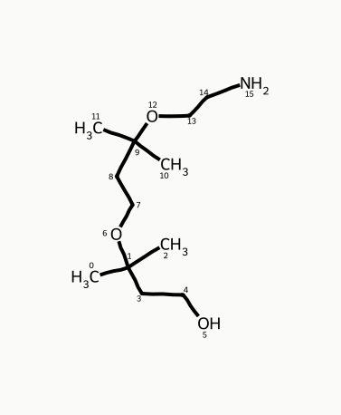 CC(C)(CCO)OCCC(C)(C)OCCN